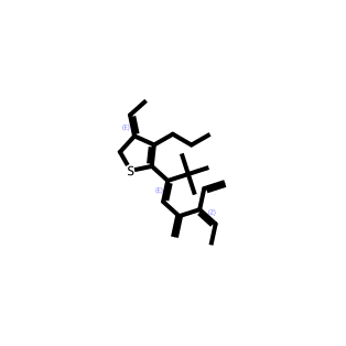 C=C/C(=C/C)C(=C)/C=C(C1=C(CCC)/C(=C\C)CS1)\C(C)(C)C